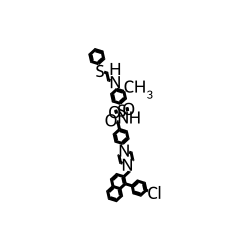 Cc1cc(S(=O)(=O)NC(=O)c2ccc(N3CCN(Cc4ccc5ccccc5c4-c4ccc(Cl)cc4)CC3)cc2)ccc1NCCSc1ccccc1